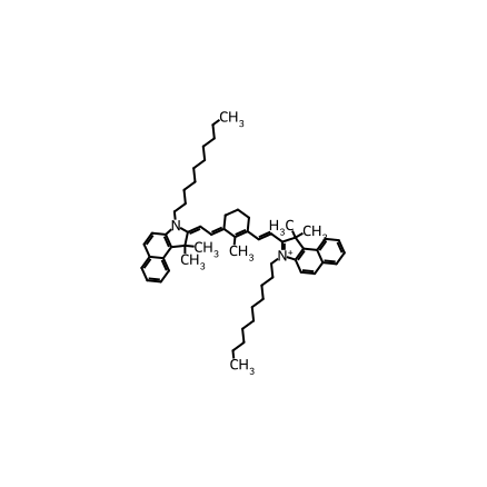 CCCCCCCCCCN1/C(=C/C=C2\CCCC(/C=C/C3=[N+](CCCCCCCCCC)c4ccc5ccccc5c4C3(C)C)=C2C)C(C)(C)c2c1ccc1ccccc21